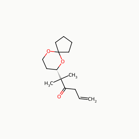 C=CCC(=O)C(C)(C)[C@@H]1CCOC2(CCCC2)O1